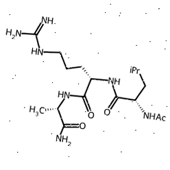 CC(=O)N[C@@H](CC(C)C)C(=O)N[C@@H](CCCNC(=N)N)C(=O)N[C@@H](C)C(N)=O